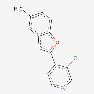 Cc1ccc2oc(-c3ccncc3Cl)cc2c1